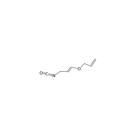 C=CCOC=CCN=C=O